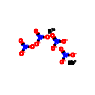 O=[N+]([O-])[O-].O=[N+]([O-])[O-].O=[N+]([O-])[O-].O=[N+]([O-])[O-].[B+3].[Rb+]